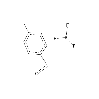 Cc1ccc(C=O)cc1.FB(F)F